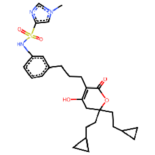 Cn1cnc(S(=O)(=O)Nc2cccc(CCCC3=C(O)CC(CCC4CC4)(CCC4CC4)OC3=O)c2)c1